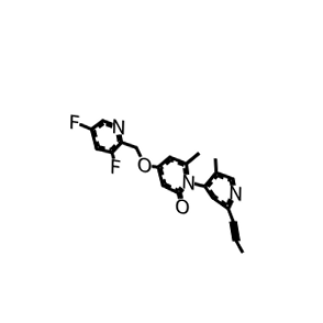 CC#Cc1cc(-n2c(C)cc(OCc3ncc(F)cc3F)cc2=O)c(C)cn1